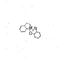 Nc1ccccc1OC1=CC2CC3C=CC=CC13C2